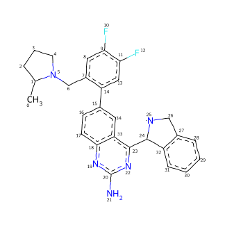 CC1CCCN1Cc1cc(F)c(F)cc1-c1ccc2nc(N)nc(C3[N]Cc4ccccc43)c2c1